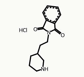 Cl.O=C1c2ccccc2C(=O)N1CCC1CCCNC1